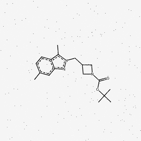 Cc1ccc2c(C)n(CC3CN(C(=O)OC(C)(C)C)C3)nc2c1